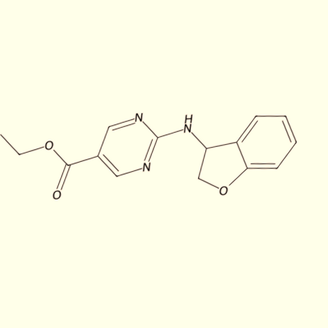 CCOC(=O)c1cnc(NC2COc3ccccc32)nc1